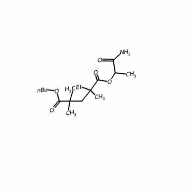 CCCCOC(=O)C(C)(C)CC(C)(CC)C(=O)OC(C)C(N)=O